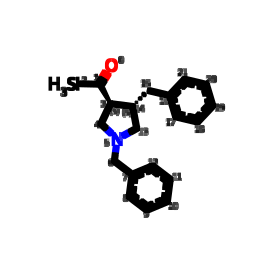 O=C([SiH3])[C@@H]1CN(Cc2ccccc2)C[C@H]1Cc1ccccc1